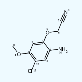 COc1cc(OCC#N)c(N)cc1Cl